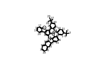 CC(C)(C)c1ccc(N2B3c4c(cc5c(oc6ccccc65)c4-c4cc(C(C)(C)C)ccc42)-n2c4cc5ccccc5cc4c4cccc3c42)cc1